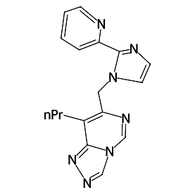 CCCc1c(Cn2ccnc2-c2ccccn2)ncn2cnnc12